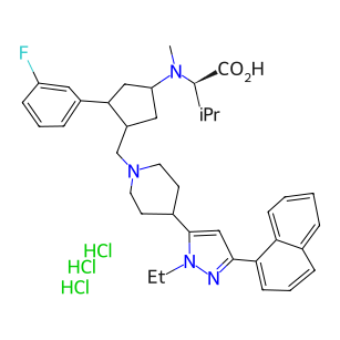 CCn1nc(-c2cccc3ccccc23)cc1C1CCN(CC2CC(N(C)[C@@H](C(=O)O)C(C)C)CC2c2cccc(F)c2)CC1.Cl.Cl.Cl